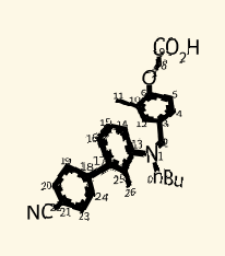 CCCCN(Cc1ccc(OCC(=O)O)c(C)c1)c1cccc(-c2ccc(C#N)cc2)c1C